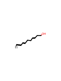 CCC=CC=CCCC=CCCO